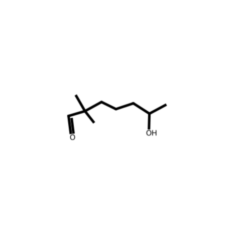 CC(O)CCCC(C)(C)C=O